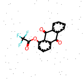 O=C1c2ccccc2C(=O)c2c(OC(=O)C(F)(F)F)cccc21